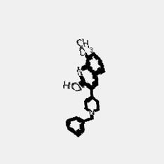 COc1cccc2cc(C3=CCN(Cc4ccccc4)CC3)c(O)nc12